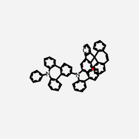 C1=Cc2ccccc2C2(c3ccccc31)c1ccccc1-c1cc(N(c3ccc4c(c3)-c3ccccc3N(c3ccccc3)c3ccccc3-4)c3ccccc3-c3ccccc3)ccc12